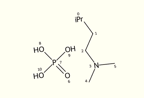 CC(C)CCN(C)C.O=P(O)(O)O